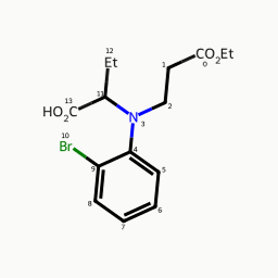 CCOC(=O)CCN(c1ccccc1Br)C(CC)C(=O)O